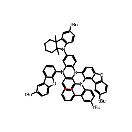 Cc1cc2c3c(c1)N(c1ccc(C(C)(C)C)cc1-c1ccccc1)c1c(ccc4oc5ccc(C(C)(C)C)cc5c14)B3c1ccc(N3c4ccc(C(C)(C)C)cc4C4(C)CCCCC34C)cc1N2c1cccc2c1oc1ccc(C(C)(C)C)cc12